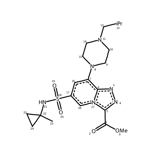 COC(=O)c1nnc2c(N3CCN(CC(C)C)CC3)cc(S(=O)(=O)NC3(C)CC3)cn12